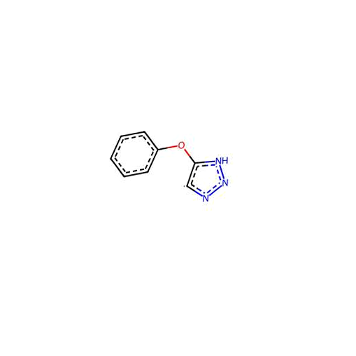 [c]1nn[nH]c1Oc1ccccc1